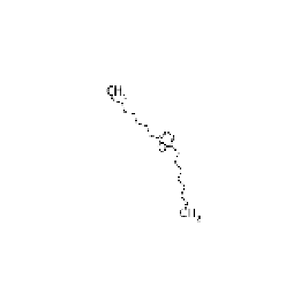 C=CCCCCCCc1ccc(CCCCCCC=C)o1